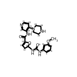 COc1cccc(NC(=O)NC2CC=C(C(=O)Nc3cnccc3N3CCNCC3)O2)c1